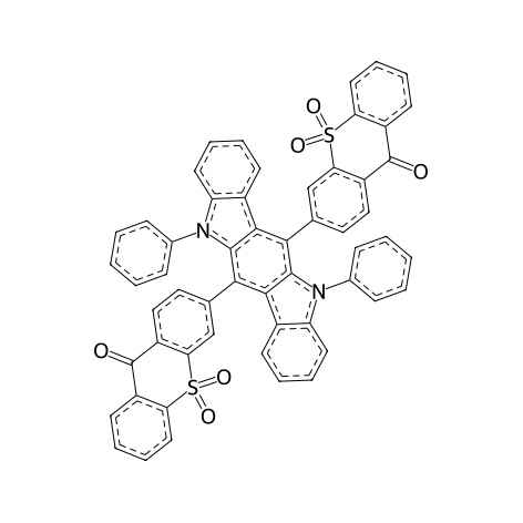 O=C1c2ccccc2S(=O)(=O)c2cc(-c3c4c5ccccc5n(-c5ccccc5)c4c(-c4ccc5c(c4)S(=O)(=O)c4ccccc4C5=O)c4c5ccccc5n(-c5ccccc5)c34)ccc21